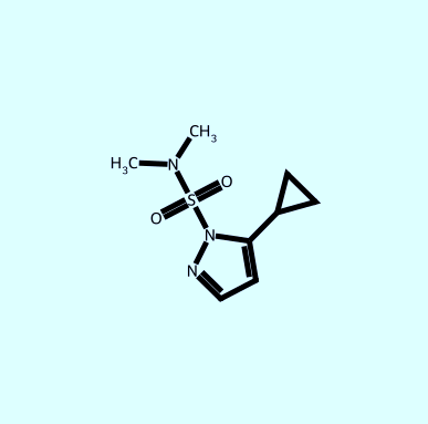 CN(C)S(=O)(=O)n1nccc1C1CC1